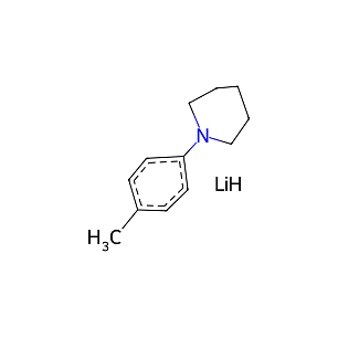 Cc1ccc(N2CCCCC2)cc1.[LiH]